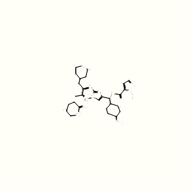 CCn1nccc1C(=O)N[C@H](c1cn2nc(C[C@H]3C[C@@H](C(F)(F)F)CNC3=O)c(CC3CCOCC3)nc2n1)C1CCC(C)CC1